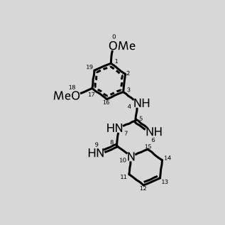 COc1cc(NC(=N)NC(=N)N2CC=CCC2)cc(OC)c1